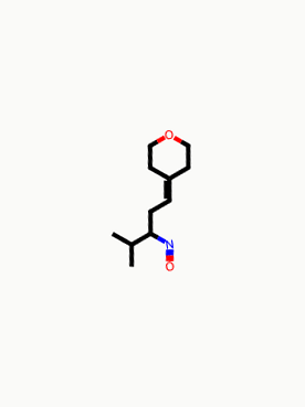 CC(C)C(CC=C1CCOCC1)N=O